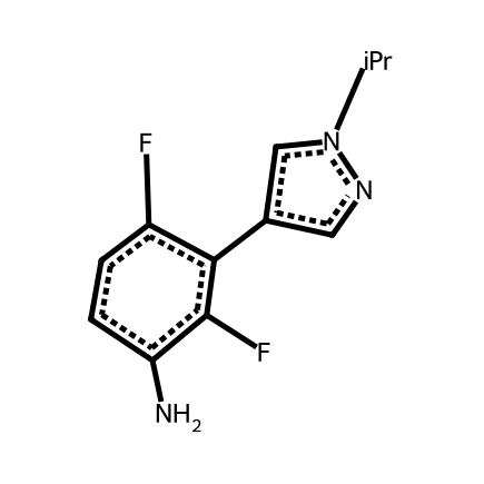 CC(C)n1cc(-c2c(F)ccc(N)c2F)cn1